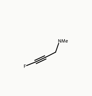 CNCC#CF